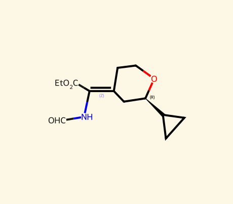 CCOC(=O)/C(NC=O)=C1\CCO[C@@H](C2CC2)C1